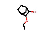 CCOC1C2CCC(C2)C1O